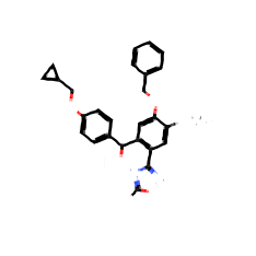 COc1cc(-c2noc(C)n2)c(C(O)c2ccc(OCC3CC3)cc2)cc1OCc1ccccc1